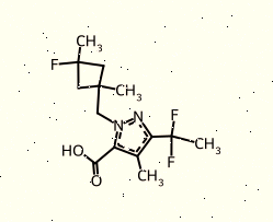 Cc1c(C(C)(F)F)nn(CC2(C)CC(C)(F)C2)c1C(=O)O